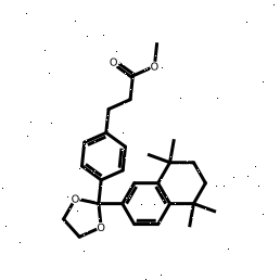 COC(=O)CCc1ccc(C2(c3ccc4c(c3)C(C)(C)CCC4(C)C)OCCO2)cc1